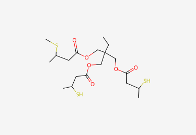 CCC(COC(=O)CC(C)S)(COC(=O)CC(C)S)COC(=O)CC(C)SC